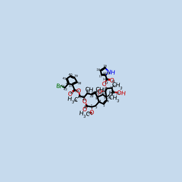 CO[C@H]1CC2C=C[C@@H]3C[C@]2(O[C@H]3[C@H](OC(=O)c2ccc[nH]2)[C@H](C)[C@H](C)O)/C(C)=C/[C@@H](C)[C@@H]([C@@H](C)OC(=O)c2ccccc2CBr)OC1=O